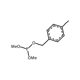 COP(OC)OCc1ccc(C)cc1